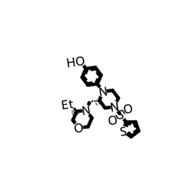 CC[C@@H]1COCCN1C[C@H]1CN(S(=O)(=O)c2cccs2)CCN1c1ccc(O)cc1